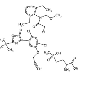 C#CCOc1cc(-n2nc(C(C)(C)C)oc2=O)c(Cl)cc1Cl.CCc1cccc(CC)c1N(COC)C(=O)CCl.CP(=O)(O)CCC(N)C(=O)O